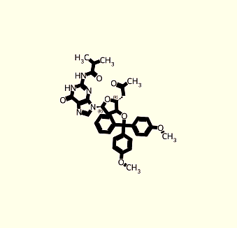 COc1ccc(C(OC2C[C@H](n3cnc4c(=O)[nH]c(NC(=O)C(C)C)nc43)O[C@@H]2CC(C)=O)(c2ccccc2)c2ccc(OC)cc2)cc1